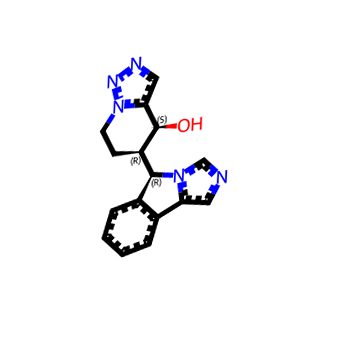 O[C@@H]1c2cnnn2CC[C@@H]1[C@@H]1c2ccccc2-c2cncn21